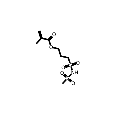 C=C(C)C(=O)OCCCS(=O)(=O)NS(C)(=O)=O